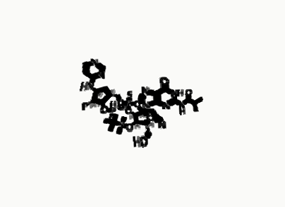 CC(C)C(=O)Nc1nc2c(ncn2[C@@H]2O[C@H](CO)[C@@H](O[Si](C)(C)C(C)(C)C)[C@H]2OP(=S)(OCCC#N)OC[C@H]2C[C@@H](Nc3ccncn3)[C@@H](F)[C@@H]2O[PH](=O)O)c(=O)[nH]1